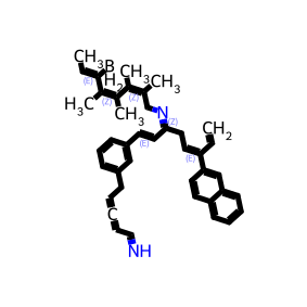 BC(=C\C)/C(C)=C(C)\C(C)=C(\C)C/N=C(\C=C\c1cccc(CC=C=CC=N)c1)C/C=C(\C=C)c1ccc2ccccc2c1